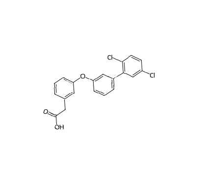 O=C(O)Cc1cccc(Oc2cccc(-c3cc(Cl)ccc3Cl)c2)c1